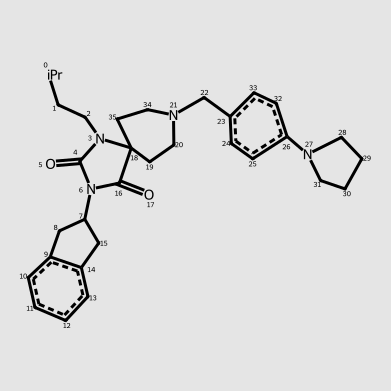 CC(C)CCN1C(=O)N(C2Cc3ccccc3C2)C(=O)C12CCN(Cc1ccc(N3CCCC3)cc1)CC2